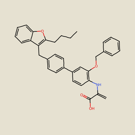 C=C(Nc1ccc(-c2ccc(Cc3c(CCCC)oc4ccccc34)cc2)cc1OCc1ccccc1)C(=O)O